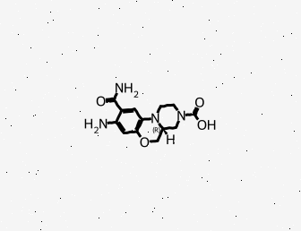 NC(=O)c1cc2c(cc1N)OC[C@H]1CN(C(=O)O)CCN21